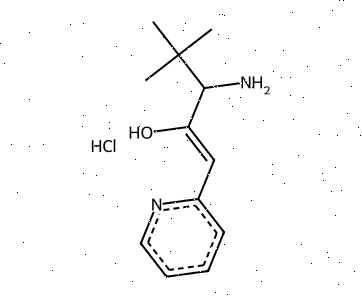 CC(C)(C)C(N)/C(O)=C/c1ccccn1.Cl